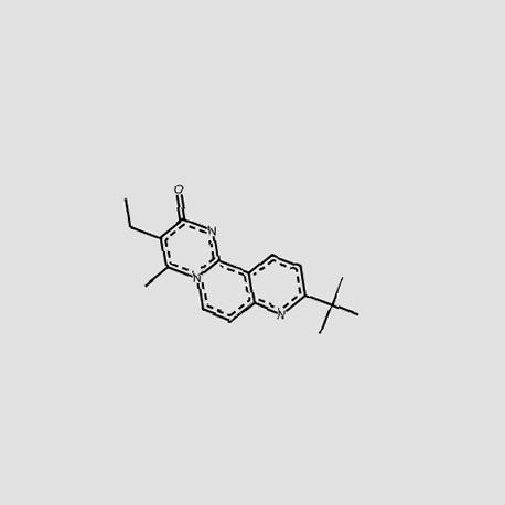 CCc1c(C)n2ccc3nc(C(C)(C)C)ccc3c2nc1=O